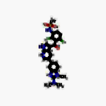 CCCS(=O)(=O)Nc1ccc(F)c(C(=O)c2c[nH]c3ncc(-c4ccc5c(c4)nc(N(C)C)n5C)cc23)c1F